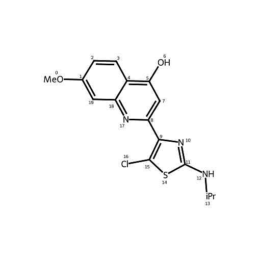 COc1ccc2c(O)cc(-c3nc(NC(C)C)sc3Cl)nc2c1